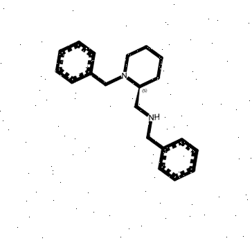 c1ccc(CNC[C@@H]2CCCCN2Cc2ccccc2)cc1